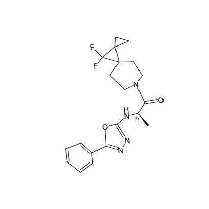 C[C@@H](Nc1nnc(-c2ccccc2)o1)C(=O)N1CCC2(CC1)C(F)(F)C21CC1